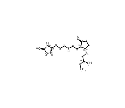 CC[C@H](O)CC[C@H]1CCC(=O)N1CCSCCCc1noc(=O)[nH]1